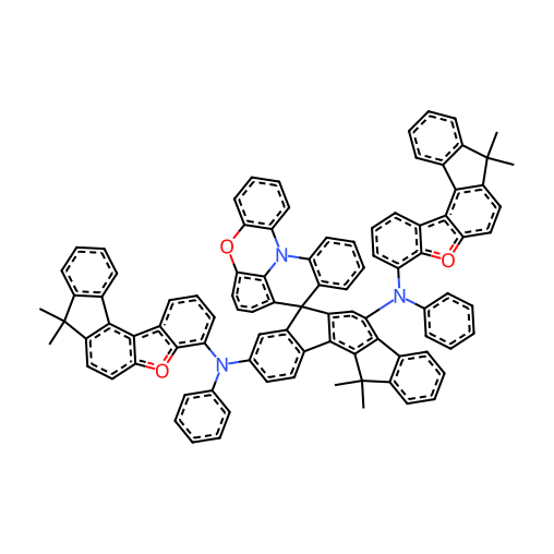 CC1(C)c2ccccc2-c2c1ccc1oc3c(N(c4ccccc4)c4ccc5c(c4)C4(c6ccccc6N6c7ccccc7Oc7cccc4c76)c4cc(N(c6ccccc6)c6cccc7c6oc6ccc8c(c67)-c6ccccc6C8(C)C)c6c(c4-5)C(C)(C)c4ccccc4-6)cccc3c21